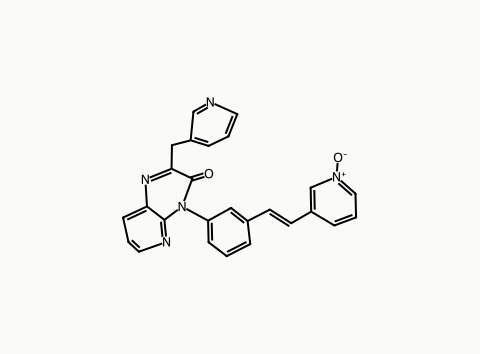 O=c1c(Cc2cccnc2)nc2cccnc2n1-c1cccc(C=Cc2ccc[n+]([O-])c2)c1